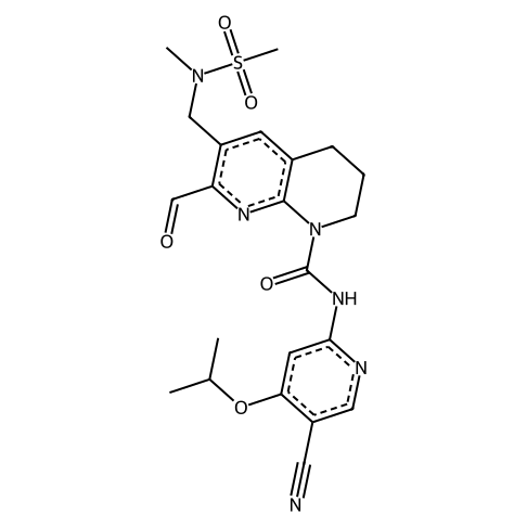 CC(C)Oc1cc(NC(=O)N2CCCc3cc(CN(C)S(C)(=O)=O)c(C=O)nc32)ncc1C#N